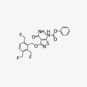 NC(=O)c1c(OCc2c(CF)ccc(CF)c2CF)nsc1NC(=O)Oc1ccccc1